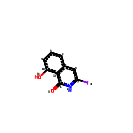 O=c1[nH]c(I)cc2cccc(O)c12